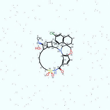 CN=C[C@]1(O)CCCCCS(=O)(=O)NC(=O)c2ccc3c(c2)N(C[C@@H]2CC[C@H]21)C[C@@]1(CCCc2cc(Cl)ccc21)CO3